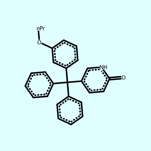 CCCOc1cccc(C(c2ccccc2)(c2ccccc2)c2ccc(=O)[nH]c2)c1